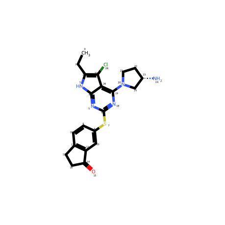 CCc1[nH]c2nc(Sc3ccc4c(c3)C(=O)CC4)nc(N3CC[C@H](N)C3)c2c1Cl